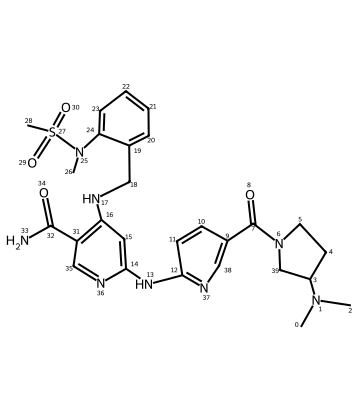 CN(C)C1CCN(C(=O)c2ccc(Nc3cc(NCc4ccccc4N(C)S(C)(=O)=O)c(C(N)=O)cn3)nc2)C1